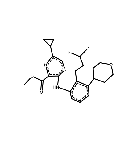 COC(=O)c1nc(C2CC2)cnc1Nc1cccc(C2CCOCC2)c1CCC(F)F